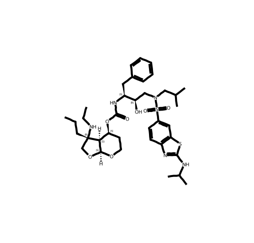 CCC[C@]1(NCC)CO[C@@H]2OCC[C@H](OC(=O)N[C@@H](Cc3ccccc3)[C@H](O)CN(CC(C)C)S(=O)(=O)c3ccc4nc(NC(C)C)sc4c3)[C@@H]21